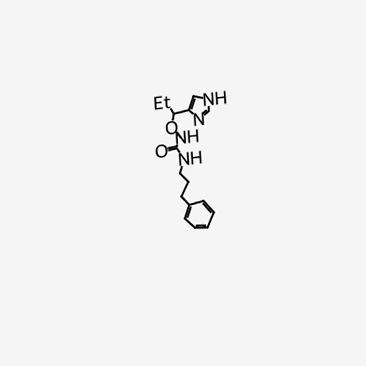 CCC(ONC(=O)NCCCc1ccccc1)c1c[nH]cn1